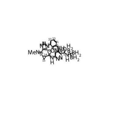 BC(B)(B)NC(=O)c1nnc(NC(=O)C2CC2)cc1Nc1cccc(-n2cc(CNC)nn2)c1OC